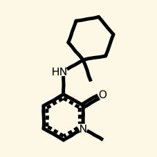 Cn1cccc(NC2(C)CCCCC2)c1=O